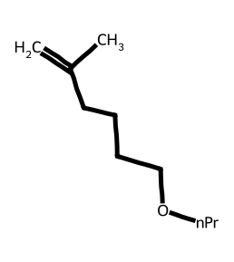 [CH2]CCOCCCCC(=C)C